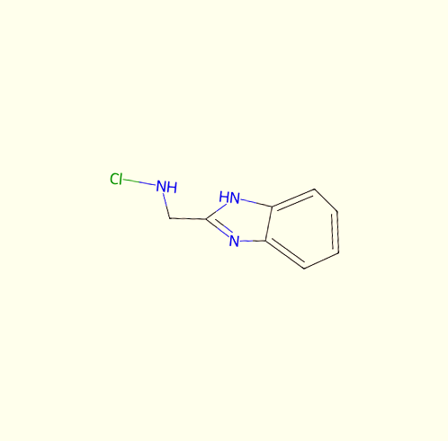 ClNCc1nc2ccccc2[nH]1